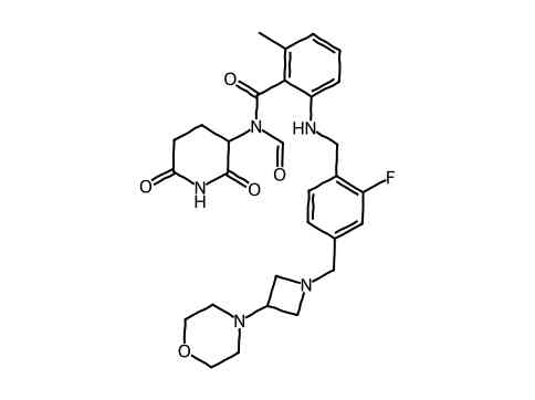 Cc1cccc(NCc2ccc(CN3CC(N4CCOCC4)C3)cc2F)c1C(=O)N(C=O)C1CCC(=O)NC1=O